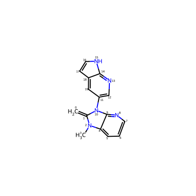 C=C1N(C)c2cccnc2N1c1cnc2[nH]ccc2c1